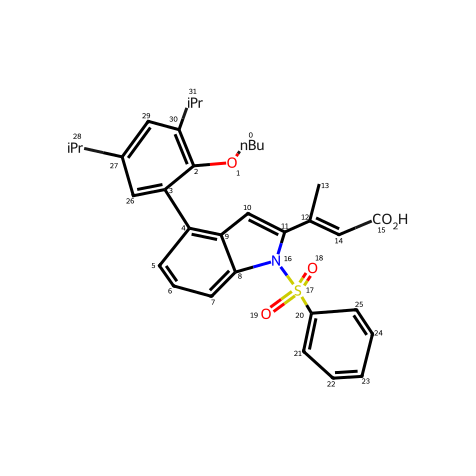 CCCCOc1c(-c2cccc3c2cc(/C(C)=C/C(=O)O)n3S(=O)(=O)c2ccccc2)cc(C(C)C)cc1C(C)C